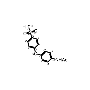 CC(=O)Nc1ccc(Oc2ccc(S(C)(=O)=O)cc2)cc1